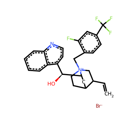 C=CC1C[N+]2(Cc3ccc(C(F)(F)F)cc3F)CCC1CC2[C@@H](O)c1ccnc2ccccc12.[Br-]